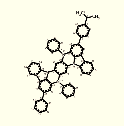 CC(C)c1ccc(-c2cc3c4c(c2)N(c2ccccc2)c2cc5c(cc2B4c2ccccc2-3)N(c2ccccc2)c2cc(-c3ccccc3)cc3c2B5c2ccccc2-3)cc1